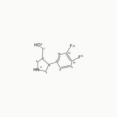 OCC1CNCC1c1ccc(F)c(F)c1